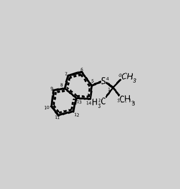 CC(C)(C)Sc1ccc2ccccc2c1